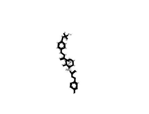 C=C(CCc1ccc(C)cc1)NC12CCC(CC1C)N(C(=C)CCc1ccc(CC(C)(C)F)cc1)C2